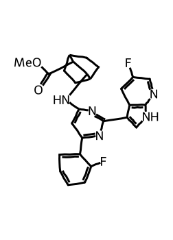 COC(=O)C1C2CCC(CC2)C1Nc1cc(-c2ccccc2F)nc(-c2c[nH]c3ncc(F)cc23)n1